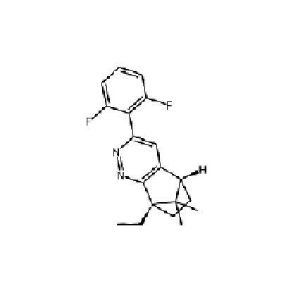 CC[C@@]12CC[C@@H](c3cc(-c4c(F)cccc4F)nnc31)C2(C)C